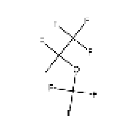 CC(F)(OC(F)(F)F)C(F)(F)F